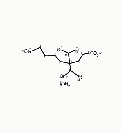 CCCCCCCCCCCCCCC(CCC(=O)O)(C(Br)CC)C(Br)CC.[BaH2]